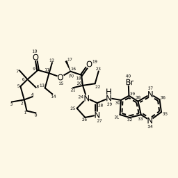 CCC(C)(C)CC(C)(C)C(=O)C(C)(CC)O[C@@H](C)C(=O)C(C)(CC)N1CCN=C1Nc1ccc2nccnc2c1Br